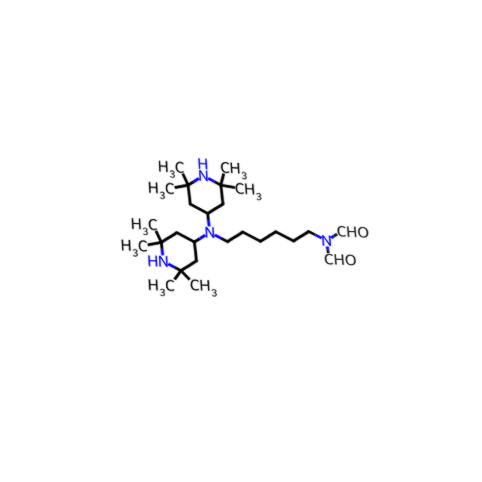 CC1(C)CC(N(CCCCCCN(C=O)C=O)C2CC(C)(C)NC(C)(C)C2)CC(C)(C)N1